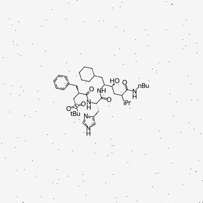 CCCCNC(=O)C(C[C@H](O)C(CC1CCCCC1)NC(=O)[C@H](Cc1c[nH]cn1)NC(=O)[C@H](Cc1ccccc1)CS(=O)(=O)C(C)(C)C)C(C)C